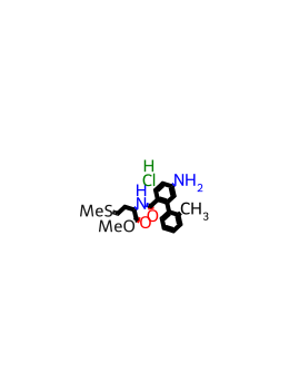 COC(=O)C(CCSC)NC(=O)c1ccc(N)cc1-c1ccccc1C.Cl